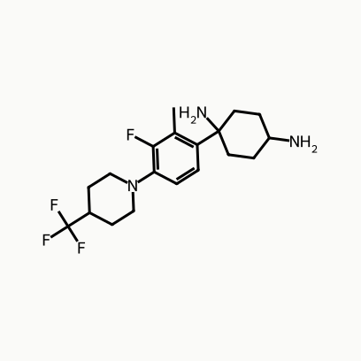 Cc1c(C2(N)CCC(N)CC2)ccc(N2CCC(C(F)(F)F)CC2)c1F